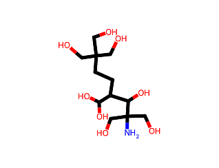 NC(CO)(CO)C(O)C(CCC(CO)(CO)CO)C(O)O